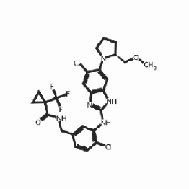 COC[C@@H]1CCCN1c1cc2[nH]c(Nc3cc(CNC(=O)C4(C(F)(F)F)CC4)ccc3Cl)nc2cc1Cl